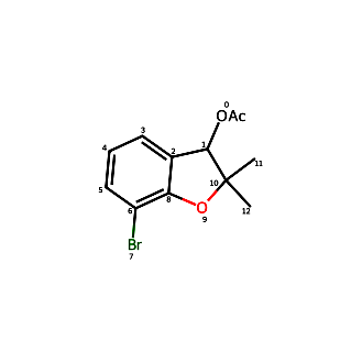 CC(=O)OC1c2cccc(Br)c2OC1(C)C